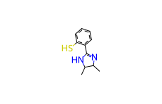 CC1N=C(c2ccccc2S)NC1C